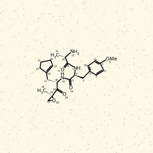 COc1ccc(C[C@H](NC(=O)[C@H](C)N)C(=O)N[C@@H](CC2=CCCC2)C(=O)[C@]2(C)CO2)cc1